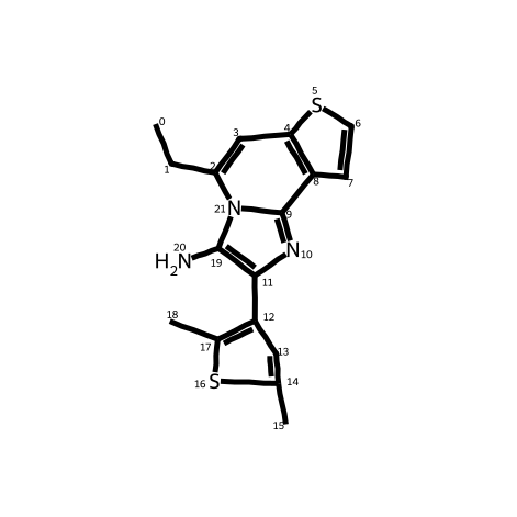 CCc1cc2sccc2c2nc(-c3cc(C)sc3C)c(N)n12